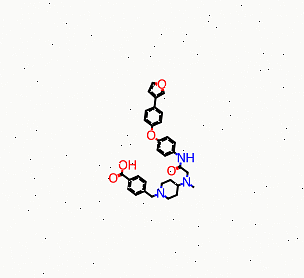 CN(CC(=O)Nc1ccc(Oc2ccc(-c3ccoc3)cc2)cc1)C1CCN(Cc2ccc(C(=O)O)cc2)CC1